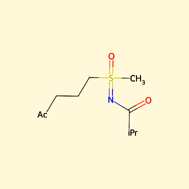 CC(=O)CCCS(C)(=O)=NC(=O)C(C)C